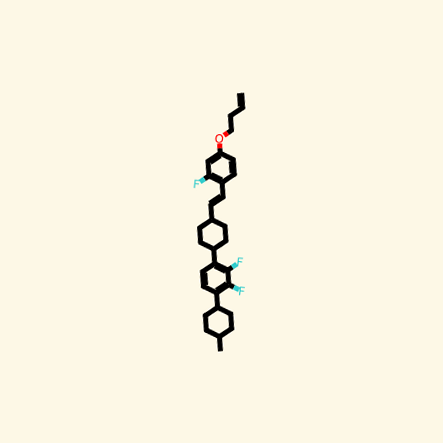 C=CCCOc1ccc(/C=C/C2CCC(c3ccc(C4CCC(C)CC4)c(F)c3F)CC2)c(F)c1